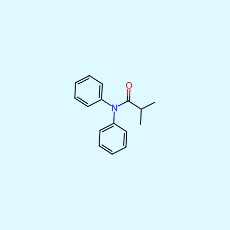 CC(C)C(=O)N(c1ccccc1)c1ccccc1